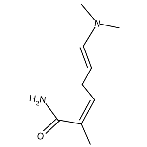 CC(=CCC=CN(C)C)C(N)=O